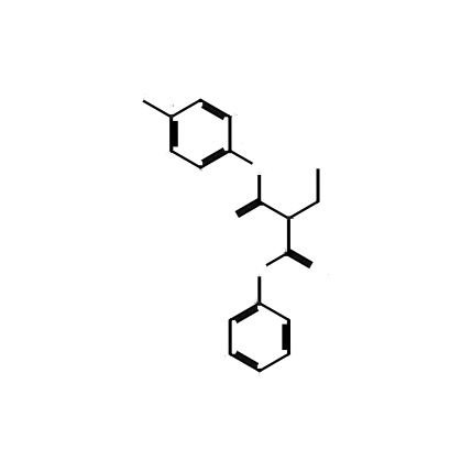 CCC(C(=O)Oc1ccccc1)C(=O)Oc1ccc(C)cc1